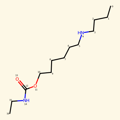 CCCCNCCCCCCOC(=O)NCC